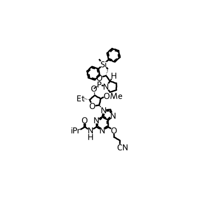 CC[C@H]1O[C@@H](n2cnc3c(OCCC#N)nc(NC(=O)C(C)C)nc32)C(OC)[C@H]1O[P@@]1O[C@H](C[Si](C)(c2ccccc2)c2ccccc2)[C@@H]2CCCN21